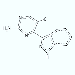 Nc1ncc(Cl)c(-c2n[nH]c3ccccc23)n1